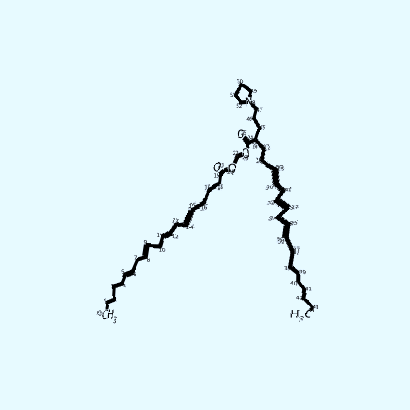 CCCCCC=CCC=CCC=CCC=CCCCC(=O)OCOC(=O)C(CCC=CCC=CCC=CCC=CCCCCC)CCCN1CCCC1